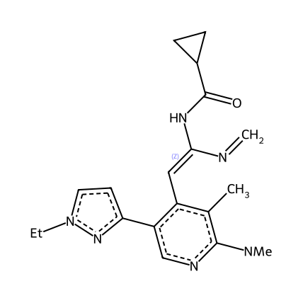 C=N/C(=C\c1c(-c2ccn(CC)n2)cnc(NC)c1C)NC(=O)C1CC1